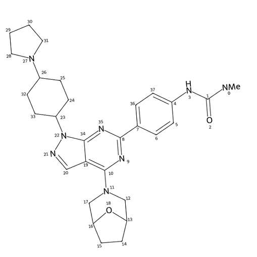 CNC(=O)Nc1ccc(-c2nc(N3CC4CCC(C3)O4)c3cnn(C4CCC(N5CCCC5)CC4)c3n2)cc1